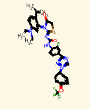 CCN(CC)c1ccc(C(C)C)c(N2C(=O)CS/C2=N\C(=O)Nc2ccc(-c3ncn(-c4ccc(OC(F)(F)F)cc4)n3)cc2F)c1